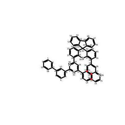 c1ccc(-c2cccc(-c3nc(-c4ccccc4)cc(-c4cccc5c4Sc4c(-c6ccc7cccnc7c6)cccc4C54c5ccccc5-c5ccccc54)n3)c2)cc1